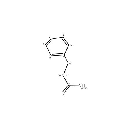 C=C(N)NCc1ccccc1